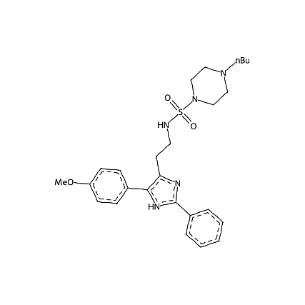 CCCCN1CCN(S(=O)(=O)NCCc2nc(-c3ccccc3)[nH]c2-c2ccc(OC)cc2)CC1